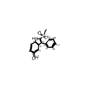 CS(=O)(=O)c1[nH]c2ccc(O)cc2c1-c1ccccc1